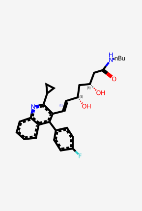 CCCCNC(=O)C[C@H](O)C[C@H](O)/C=C/c1c(C2CC2)nc2ccccc2c1-c1ccc(F)cc1